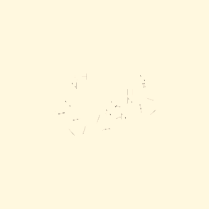 CN1CCN(C(=O)c2cccc(-c3ccc4nc(Nc5ccccc5C#N)nn4c3)c2)CC1